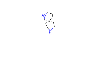 [CH]1CCC2(CCNCC2)CN1